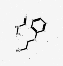 CNC=O.OCCOc1ccccc1